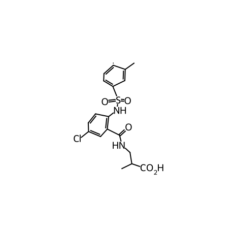 Cc1[c]ccc(S(=O)(=O)Nc2ccc(Cl)cc2C(=O)NCC(C)C(=O)O)c1